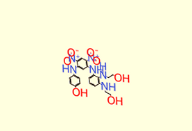 O=[N+]([O-])c1cc([N+](=O)[O-])c(Nc2cccc(NCCO)c2NCCO)cc1Nc1ccc(O)cc1